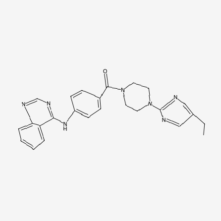 CCc1cnc(N2CCN(C(=O)c3ccc(Nc4ncnc5ccccc45)cc3)CC2)nc1